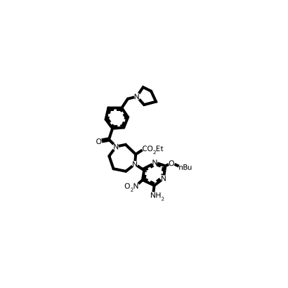 CCCCOc1nc(N)c([N+](=O)[O-])c(N2CCCN(C(=O)c3ccc(CN4CCCC4)cc3)CC2C(=O)OCC)n1